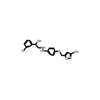 Oc1cc(COc2ccc(BNCC(O)c3cccc(Cl)c3)cc2)on1